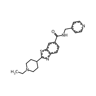 CCN1CCC(c2nc3ccc(C(=O)NCc4ccncc4)cc3s2)CC1